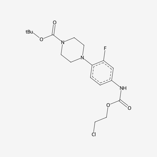 CC(C)(C)OC(=O)N1CCN(c2ccc(NC(=O)OCCCl)cc2F)CC1